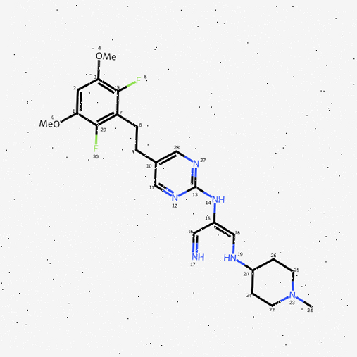 COc1cc(OC)c(F)c(CCc2cnc(N/C(C=N)=C/NC3CCN(C)CC3)nc2)c1F